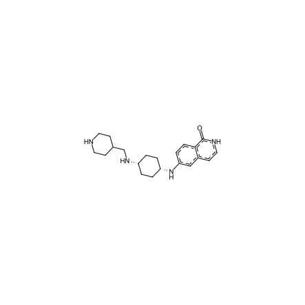 O=c1[nH]ccc2cc(N[C@H]3CC[C@@H](NCC4CCNCC4)CC3)ccc12